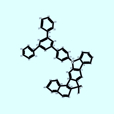 CC1(C)c2cc3c4ccccc4n(-c4ccc(-c5cc(-c6ccccc6)cc(-c6ccccc6)c5)cc4)c3cc2-c2c1ccc1ccccc21